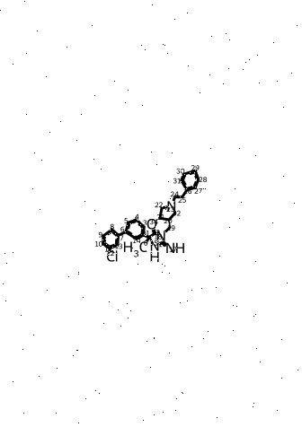 CC1(c2cccc(-c3cccc(Cl)c3)c2)NC(=N)N(C[C@H]2CCN(CCc3ccccc3)C2)C1=O